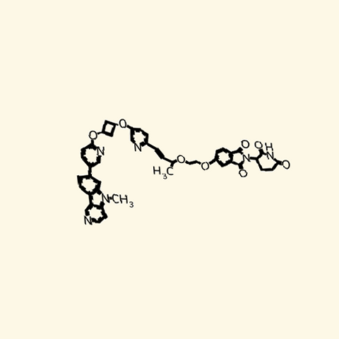 CC(C#Cc1ccc(O[C@H]2C[C@H](Oc3ccc(-c4ccc5c6cnccc6n(C)c5c4)cn3)C2)cn1)OCCOc1ccc2c(c1)C(=O)N(C1CCC(=O)NC1=O)C2=O